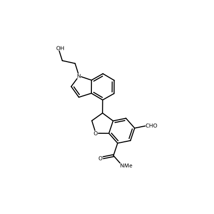 CNC(=O)c1cc(C=O)cc2c1OCC2c1cccc2c1ccn2CCO